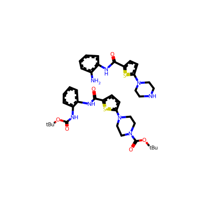 CC(C)(C)OC(=O)Nc1ccccc1NC(=O)c1ccc(N2CCN(C(=O)OC(C)(C)C)CC2)s1.Nc1ccccc1NC(=O)c1ccc(N2CCNCC2)s1